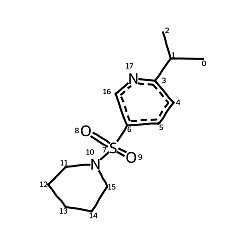 CC(C)c1ccc(S(=O)(=O)N2CCCCC2)cn1